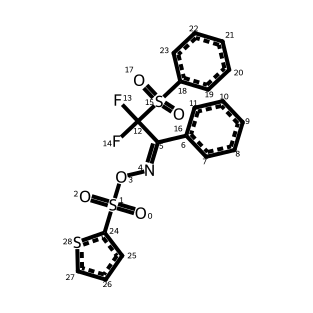 O=S(=O)(ON=C(c1ccccc1)C(F)(F)S(=O)(=O)c1ccccc1)c1cccs1